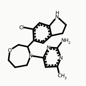 Cc1cc(N2CCCOCC2c2cc3c(cc2Cl)NCC3)nc(N)n1